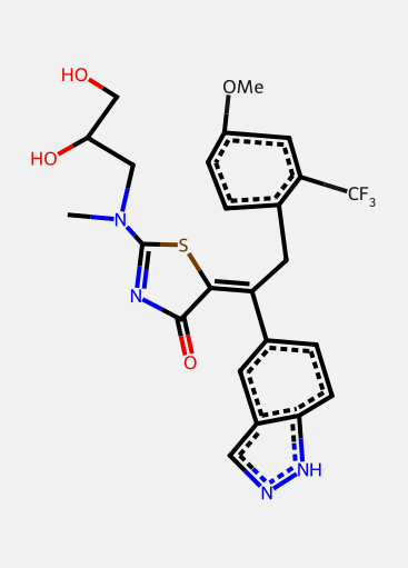 COc1ccc(CC(=C2SC(N(C)CC(O)CO)=NC2=O)c2ccc3[nH]ncc3c2)c(C(F)(F)F)c1